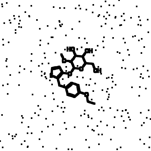 CCOc1ccc(Cc2sccc2OC2OC(CO)C(O)C(O)C2OC)cc1